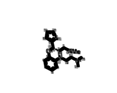 CNCC[C@H](Oc1ccccc1NCCN(C)C)c1cccs1